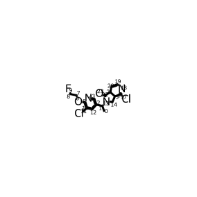 CC(c1cnc(OCCF)c(Cl)c1)N1CC2C(Cl)=NC=CC2C1=O